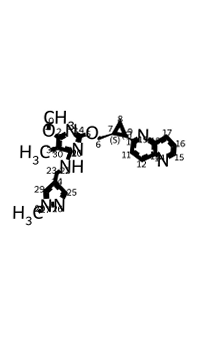 COc1nc(OC[C@H]2C[C@@H]2c2ccc3ncccc3n2)nc(NCc2cnn(C)c2)c1C